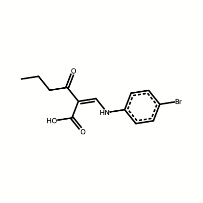 CCCC(=O)C(=CNc1ccc(Br)cc1)C(=O)O